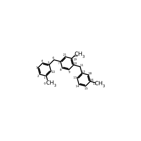 Cc1cccc(Cc2ccc(Cc3cccc(C)c3)c(C)c2)c1